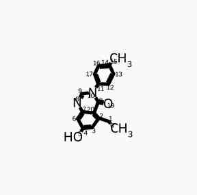 CCc1cc(O)cc2ncn(-c3ccc(C)cc3)c(=O)c12